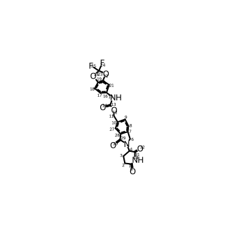 O=C1CCC(N2Cc3ccc(COC(=O)Nc4ccc5c(c4)OC(F)(F)O5)cc3C2=O)C(=O)N1